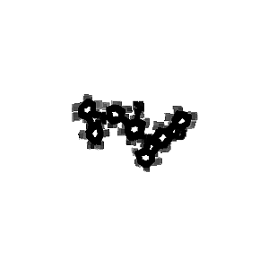 N#Cc1cc(-n2c3ccccc3c3cc4oc5ccccc5c4cc32)ccc1-c1cccc(-n2c3ccccc3c3ccccc32)c1